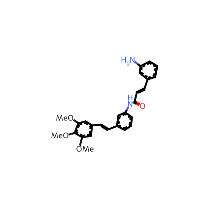 COc1cc(/C=C/c2cccc(NC(=O)/C=C/c3cccc(N)c3)c2)cc(OC)c1OC